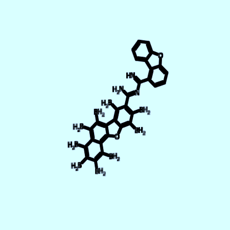 Bc1c(/C(N)=N/C(=N)c2cccc3oc4ccccc4c23)c(B)c2c(oc3c4c(B)c(B)c(B)c(B)c4c(B)c(B)c32)c1B